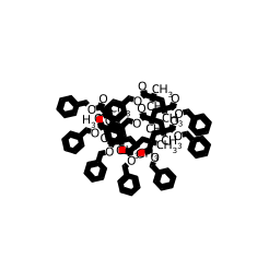 CC(C)(CC(C)(CC(C)(CC(C)(CC(C)(CC(C)(CC(C)(CC(C)(CC(C)(C)C(=O)OCc1ccccc1)C(=O)OCc1ccccc1)C(=O)OCc1ccccc1)C(=O)OCc1ccccc1)C(=O)OCc1ccccc1)C(=O)OCc1ccccc1)C(=O)OCc1ccccc1)C(=O)OCc1ccccc1)C(=O)OCc1ccccc1